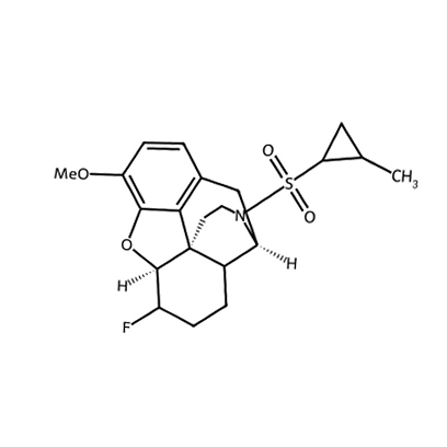 COc1ccc2c3c1O[C@@H]1C(F)CCC4[C@H](C2)N(S(=O)(=O)C2CC2C)CC[C@]341